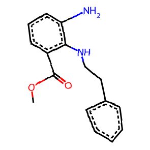 COC(=O)c1cccc(N)c1NCCc1ccccc1